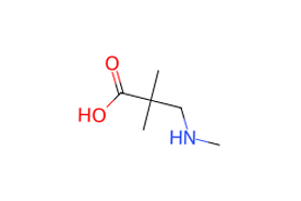 CNCC(C)(C)C(=O)O